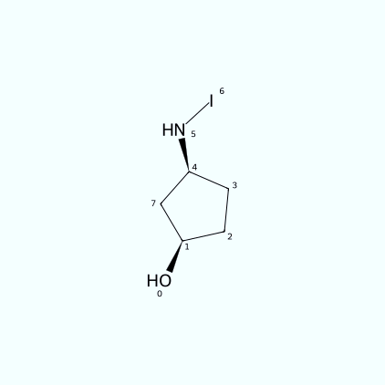 O[C@@H]1CC[C@H](NI)C1